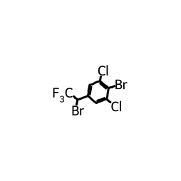 FC(F)(F)C(Br)c1cc(Cl)c(Br)c(Cl)c1